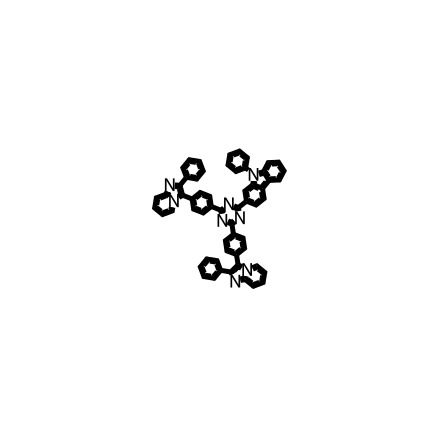 c1ccc(-c2nc3ccccn3c2-c2ccc(-c3nc(-c4ccc(-c5c(-c6ccccc6)nc6ccccn56)cc4)nc(-c4ccc5c6ccccc6n(-c6ccccc6)c5c4)n3)cc2)cc1